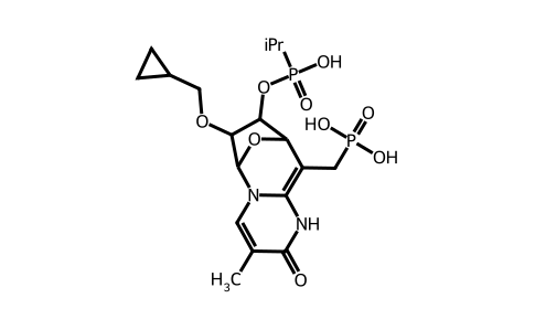 CC1=CN2C(=C(CP(=O)(O)O)C3OC2C(OCC2CC2)C3OP(=O)(O)C(C)C)NC1=O